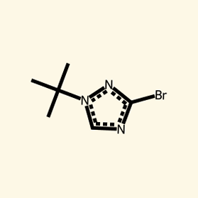 CC(C)(C)n1cnc(Br)n1